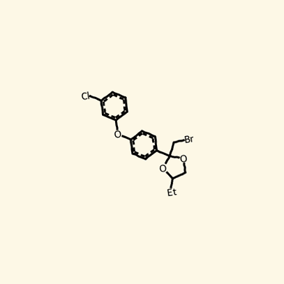 CCC1COC(CBr)(c2ccc(Oc3cccc(Cl)c3)cc2)O1